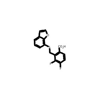 O=C(O)c1ccc(F)c(F)c1CSc1cccc2ccoc12